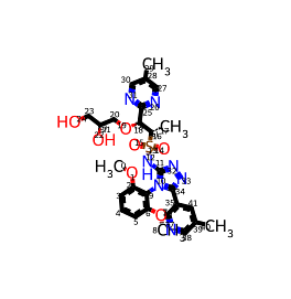 COc1cccc(OC)c1-n1c(NS(=O)(=O)[C@@H](C)[C@@H](OC[C@@H](O)CO)c2ncc(C)cn2)nnc1-c1cncc(C)c1